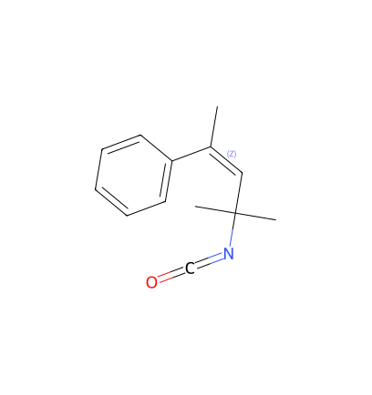 C/C(=C/C(C)(C)N=C=O)c1ccccc1